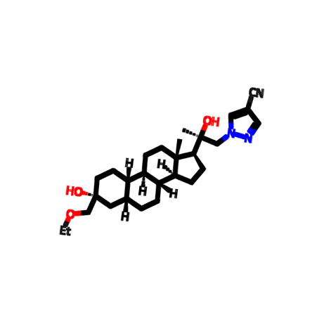 CCOC[C@@]1(O)CC[C@H]2[C@H](CC[C@@H]3[C@@H]2CC[C@@]2(C)[C@H]3CC[C@@H]2[C@@](C)(O)Cn2cc(C#N)cn2)C1